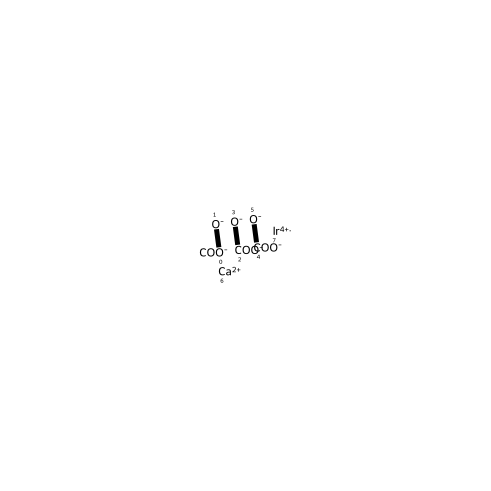 O=C([O-])[O-].O=C([O-])[O-].O=C([O-])[O-].[Ca+2].[Ir+4]